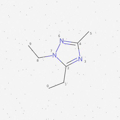 CCc1nc(C)nn1CC